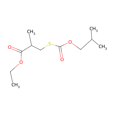 CCOC(=O)C(C)CSC(=O)OCC(C)C